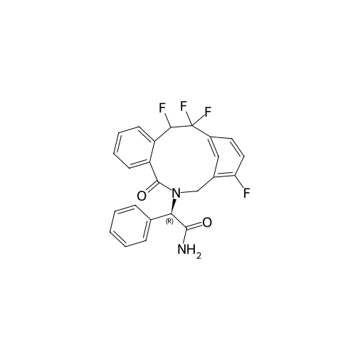 NC(=O)[C@@H](c1ccccc1)N1Cc2cc(ccc2F)C(F)(F)C(F)c2ccccc2C1=O